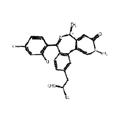 CCC(C=O)Cc1ccc2c(c1)-c1cn(C)c(=O)cc1[C@H](C)N=C2c1ccc(Cl)cc1Cl